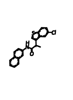 C[C](C(=O)Nc1ccc2ccccc2c1)c1csc2ccc(Cl)cc12